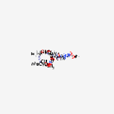 CCCOCCC(=O)N1CCN(c2ncc3c(n2)CCN(C(=O)O[C@@H]2CC[C@@H](C[C@@H](N)[C@@H]4C[C@@H](OC)[C@H](C)/C=C(\C)[C@@H](O)[C@@H](OC)C(=O)[C@H](C)C[C@H](C)/C=C/C=C/C=C(\C)[C@@H](OC)C[C@@H]5CC[C@@H](C)[C@@](O)(O5)C(=O)C(=O)N5CCCC[C@H]5C(=O)O4)C[C@H]2OC)C3)CC1